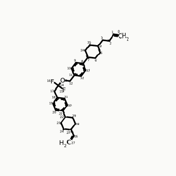 C=CCCC1CCC(c2ccc(COC(F)(F)Cc3ccc(C4CCC(C=C)CC4)cc3)cc2)CC1